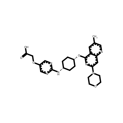 Cc1cnc2cc(N3CCOCC3)nc(O[C@H]3CC[C@@H](Nc4ncc(OCC(=O)O)cn4)CC3)c2c1